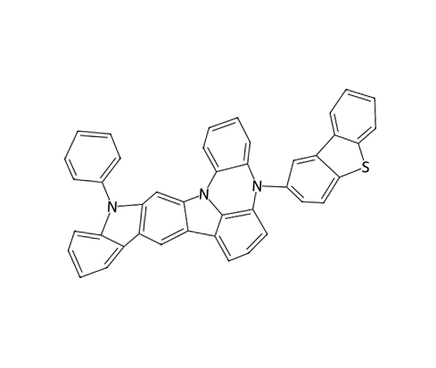 c1ccc(-n2c3ccccc3c3cc4c5cccc6c5n(c4cc32)-c2ccccc2N6c2ccc3sc4ccccc4c3c2)cc1